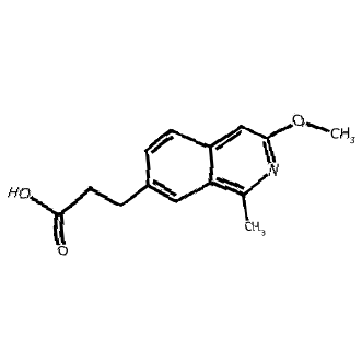 COc1cc2ccc(CCC(=O)O)cc2c(C)n1